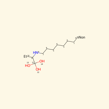 CCCCCCCCCCCCCCCCNC(CC)C(O)(O)O